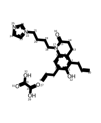 C=CCc1cc2c(c(CC=C)c1O)CCC(=O)N2CCCCn1ccnc1.O=C(O)C(=O)O